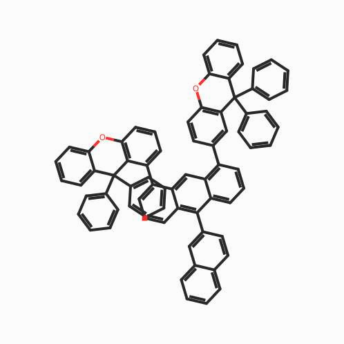 c1ccc(C2(c3ccccc3)c3ccccc3Oc3ccc(-c4cccc5c(-c6ccc7ccccc7c6)c6cccc(-c7cccc8c7C(c7ccccc7)(c7ccccc7)c7ccccc7O8)c6cc45)cc32)cc1